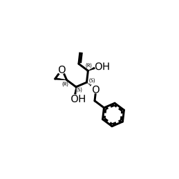 C=C[C@@H](O)[C@H](OCc1ccccc1)[C@@H](O)[C@H]1CO1